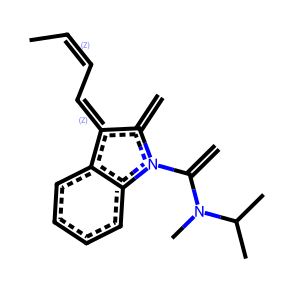 C=C(N(C)C(C)C)n1c(=C)/c(=C\C=C/C)c2ccccc21